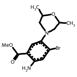 COC(=O)c1cc(N2CC(C)OC(C)C2)c(Br)cc1N